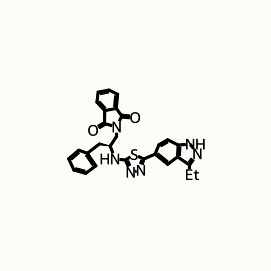 CCc1n[nH]c2ccc(-c3nnc(N[C@@H](Cc4ccccc4)CN4C(=O)c5ccccc5C4=O)s3)cc12